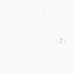 C/C=C(/CO)CCCC